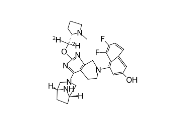 [2H]C([2H])(Oc1nc2c(c(N3C[C@H]4CC[C@@H](C3)N4)n1)CCN(c1cc(O)cc3ccc(F)c(F)c13)C2)[C@@H]1CCCN1C